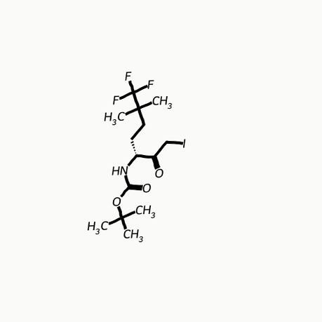 CC(C)(C)OC(=O)N[C@H](CCC(C)(C)C(F)(F)F)C(=O)CI